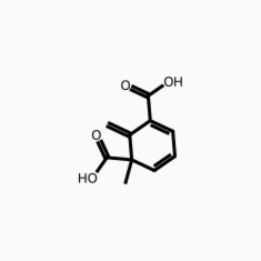 C=C1C(C(=O)O)=CC=CC1(C)C(=O)O